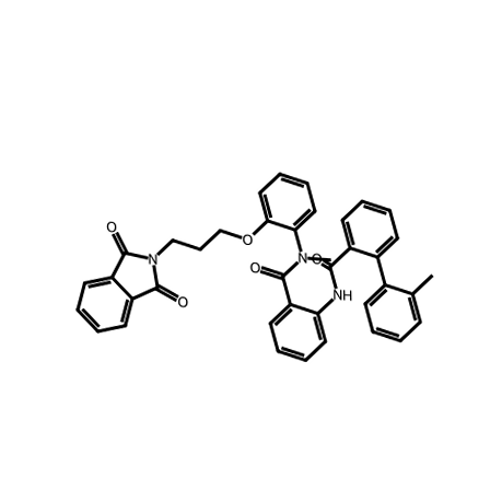 Cc1ccccc1-c1ccccc1C(=O)Nc1ccccc1C(=O)N(C)c1ccccc1OCCCN1C(=O)c2ccccc2C1=O